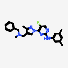 Cc1cc(C)cc(Nc2ncc(F)c(-n3cc(CN(C)Cc4ccccc4)c(C)n3)n2)c1